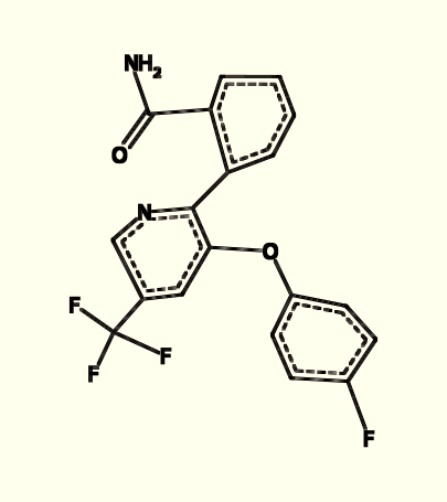 NC(=O)c1ccccc1-c1ncc(C(F)(F)F)cc1Oc1ccc(F)cc1